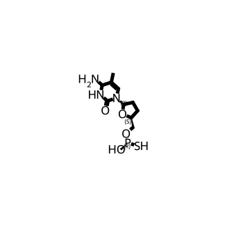 CC1=CN([C@H]2CC[C@@H](CO[P@](O)S)O2)C(=O)NC1N